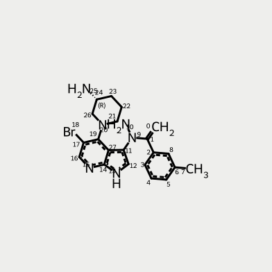 C=C(c1cccc(C)c1)N(N)c1c[nH]c2ncc(Br)c(N3CCC[C@@H](N)C3)c12